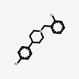 CC(=O)c1ccc(C2CCN(Cc3ccccc3Cl)CC2)cc1